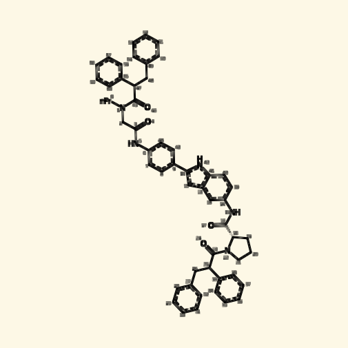 CCCN(CC(=O)Nc1ccc(-c2cc3cc(NC(=O)[C@@H]4CCCN4C(=O)C(Cc4ccccc4)c4ccccc4)ccc3[nH]2)cc1)C(=O)C(Cc1ccccc1)c1ccccc1